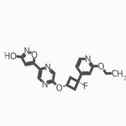 CCOc1cc([C@]2(F)C[C@@H](Oc3cnc(-c4cc(O)no4)cn3)C2)ccn1